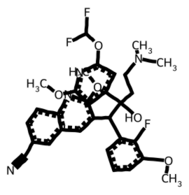 COc1cc(C(O)(CCN(C)C)C(c2cc3cc(C#N)ccc3nc2OC)c2cccc(OC)c2F)cc(OC(F)F)n1